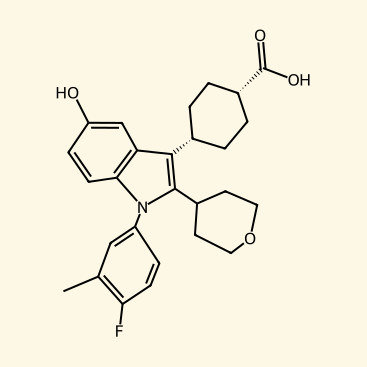 Cc1cc(-n2c(C3CCOCC3)c([C@H]3CC[C@@H](C(=O)O)CC3)c3cc(O)ccc32)ccc1F